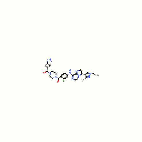 N#CCn1cc(-c2cnc3c(Nc4ccc(C(=O)N5CCN(C(=O)C6CC(N)C6)CC5)c(Cl)c4)nccn23)c(C(F)(F)F)n1